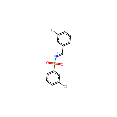 O=S(=O)(/N=C/c1cccc(F)c1)c1cccc(Cl)c1